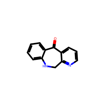 O=C1c2ccccc2NCc2ncccc21